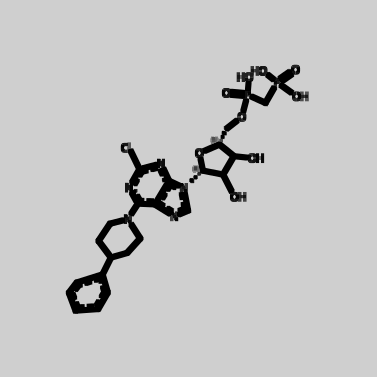 O=P(O)(O)CP(=O)(O)OC[C@H]1O[C@@H](n2cnc3c(N4CCC(c5ccccc5)CC4)nc(Cl)nc32)C(O)C1O